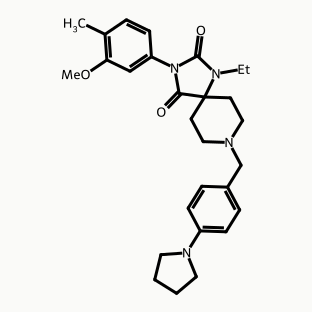 CCN1C(=O)N(c2ccc(C)c(OC)c2)C(=O)C12CCN(Cc1ccc(N3CCCC3)cc1)CC2